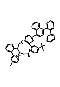 C=C1CC2C(CCc3ccc(-c4ccc(-c5ccccc5-c5ccccc5)c5cccnc45)cc3-c3cc(C(C)(C)C)cc[n+]31)c1ccccc1-c1cc(C)cc[n+]12